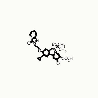 CCC(C)(C)N1Cc2cc(OCCn3nc4ccccn4c3=O)c(C3CC3)cc2-c2cc(=O)c(C(=O)O)cn21